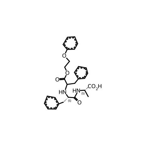 C[C@H](NC(=O)[C@H](Cc1ccccc1)NC(Cc1ccccc1)C(=O)OCCOc1ccccc1)C(=O)O